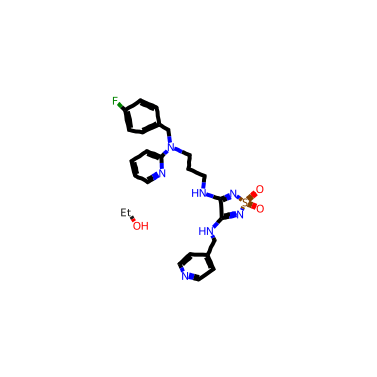 CCO.O=S1(=O)N=C(NCCCN(Cc2ccc(F)cc2)c2ccccn2)C(NCc2ccncc2)=N1